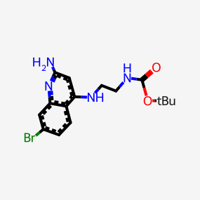 CC(C)(C)OC(=O)NCCNc1cc(N)nc2cc(Br)ccc12